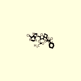 CC(=O)OC1C(n2cnc3c(Cl)ncnc32)O[C@@]2(CCC2OC(=O)c2ccccc2)C1OC(C)=O